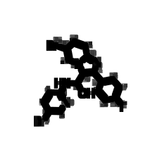 OC(Nc1ccc(Br)cn1)c1c(-c2ccc(F)cc2)nc2ccc(Br)cn12